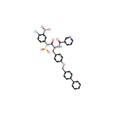 O=C(N[C@@H](Cc1ccc(OCc2ccc(-c3ccccc3)cc2)cc1)C(=O)N(c1ccc(Cl)c([N+](=O)[O-])c1)[SH](=O)=O)c1cccnc1